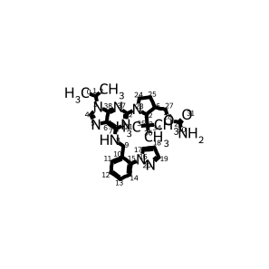 CC(C)n1cnc2c(NCc3ccccc3-n3cccn3)nc(N3CCC(COC(N)=O)C3C(C)(C)C)nc21